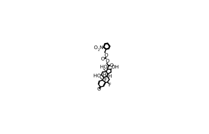 C[C@]12C=CC(=O)C=C1C(F)C[C@H]1[C@@H]3CC(O)[C@](O)(C(=O)COC(=O)OCc4ccccc4[N+](=O)[O-])[C@@]3(C)CC(O)[C@@]12F